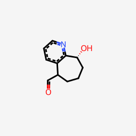 O=CC1CCC[C@@H](O)c2ncccc21